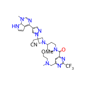 COCCN(C)Cc1cc(C(=O)N2CCC(N3CC(CC#N)(n4cc(C5=C6C=CNC6N(C)C=N5)cn4)C3)CC2)nc(C(F)(F)F)n1